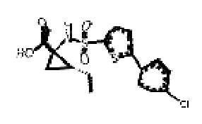 CC[C@@H]1C[C@]1(NS(=O)(=O)c1ccc(-c2ccc(Cl)cc2)s1)C(=O)O